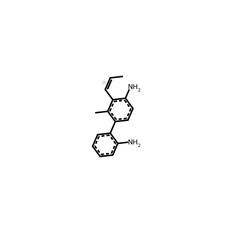 C/C=C\c1c(N)ccc(-c2ccccc2N)c1C